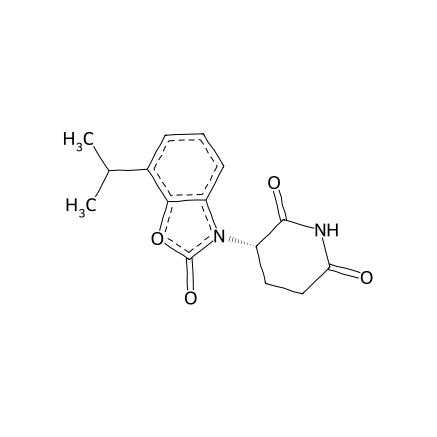 CC(C)c1cccc2c1oc(=O)n2[C@H]1CCC(=O)NC1=O